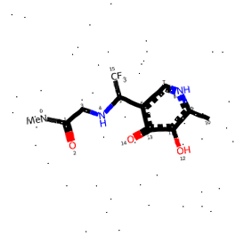 CNC(=O)CNC(c1c[nH]c(C)c(O)c1=O)C(F)(F)F